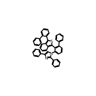 c1ccc(-c2cn(-c3cccc(-c4ccccc4)c3-c3sc(-c4ccccc4-c4ccccc4)c4ccccc34)c(-c3ccccc3)n2)cc1